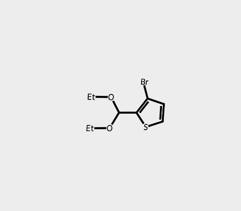 CCOC(OCC)c1sccc1Br